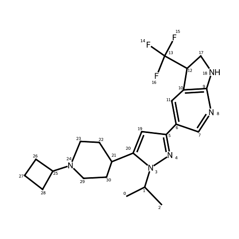 CC(C)n1nc(-c2cnc3c(c2)C(C(F)(F)F)CN3)cc1C1CCN(C2CCC2)CC1